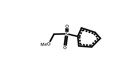 COCS(=O)(=O)c1[c]cccc1